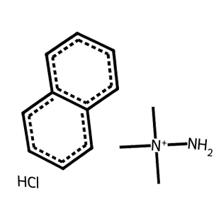 C[N+](C)(C)N.Cl.c1ccc2ccccc2c1